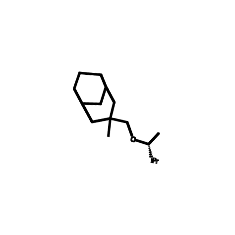 CC(C)[C@@H](C)OCC1(C)CC2CCCC(C2)C1